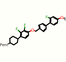 CCCCCC1CCC(c2ccc(OCc3ccc(-c4ccc(OCC)cc4F)cc3)c(F)c2F)CC1